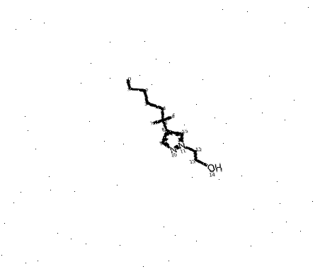 CCCCCC(C)(C)c1cnn(CCO)c1